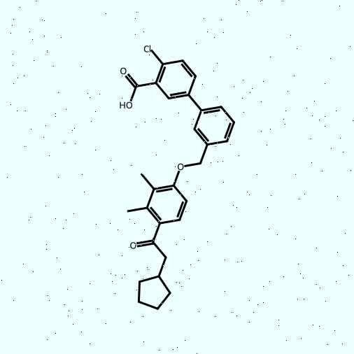 Cc1c(OCc2cccc(-c3ccc(Cl)c(C(=O)O)c3)c2)ccc(C(=O)CC2CCCC2)c1C